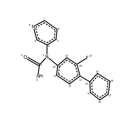 CCCC(=O)N(c1cccnc1)c1ccc(-c2ccccc2)c(F)c1